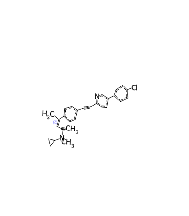 C/C(=C/[C@@H](C)N(C)C1CC1)c1ccc(C#Cc2ccc(-c3ccc(Cl)cc3)cn2)cc1